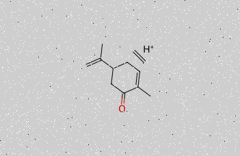 C=C.C=C(C)C1CC=C(C)C(=O)C1.[H+]